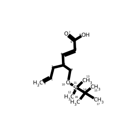 C=CCC(/C=C/C(=O)O)CO[Si](C)(C)C(C)(C)C